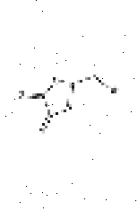 C=C1C=C(CO)OC1=O